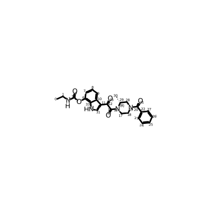 CCNC(=O)Oc1cccc2c(C(=O)C(=O)N3CCN(C(=O)c4ccccc4)C[C@H]3C)c[nH]c12